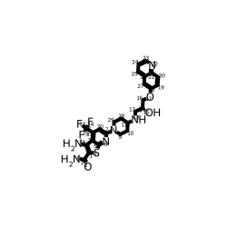 NC(=O)c1sc2nc(N3CCC(NC[C@@H](O)COc4ccc5ncccc5c4)CC3)cc(C(F)(F)F)c2c1N